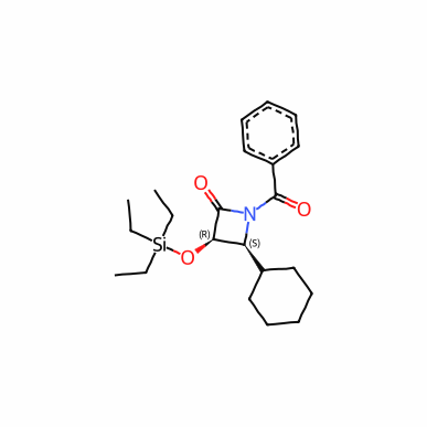 CC[Si](CC)(CC)O[C@H]1C(=O)N(C(=O)c2ccccc2)[C@H]1C1CCCCC1